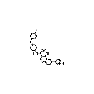 CC(C)Nc1c(C(=O)NC2CCN(Cc3ccc(F)cc3)CC2)cnc2ccc(-c3cn[nH]c3)cc12